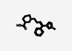 Cn1ccc(/C(=C/CCN2CCCC(C(=O)O)C2)c2ccccc2)c1